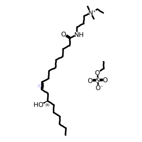 CCCCCC[C@@H](O)C/C=C\CCCCCCCC(=O)NCCC[N+](C)(C)CC.CCOS(=O)(=O)[O-]